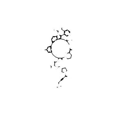 CCn1c(-c2cnccc2[C@H](C)OC)c2c3cc(ccc31)-c1cc(O)cc(c1)CCC(NC(=O)[C@H](C(C)C)N(C)C[C@H]1CCN(C(=O)C#CCN(C)C)C1)C(=O)N1CCC[C@H](N1)C(=O)OCC(C)(C)C2